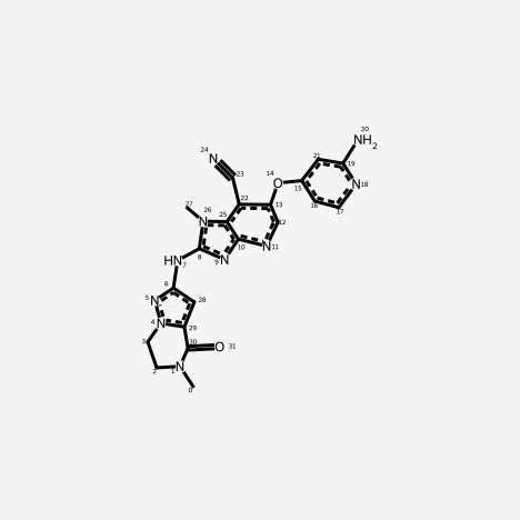 CN1CCn2nc(Nc3nc4ncc(Oc5ccnc(N)c5)c(C#N)c4n3C)cc2C1=O